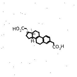 C[C@]12CCC3=C(CCc4cc(CC(=O)O)ccc43)[C@@H]1CC[C@@H]2CC(=O)O